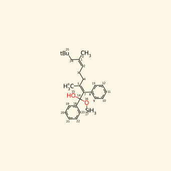 CC(=CCCC(C)=C(c1ccccc1)C(O)(O[SiH3])c1ccccc1)CC(C)(C)C